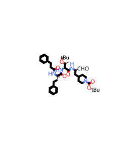 C[C@@H](OC(C)(C)C)[C@H](NC(=O)[C@H](CCc1ccccc1)NC(=O)CCc1ccccc1)C(=O)N[C@H](C=O)CC1CCN(C(=O)OC(C)(C)C)CC1